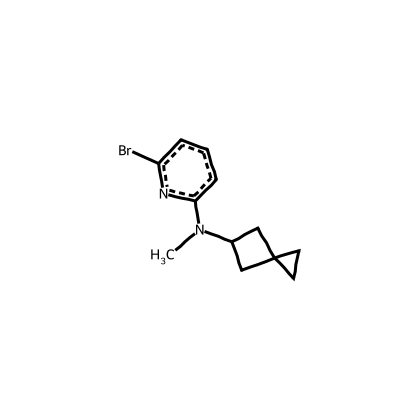 CN(c1cccc(Br)n1)C1CC2(CC2)C1